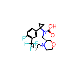 CN1CCOC[C@@H]1CN(C(=O)O)C1(c2ccc(F)c(C(F)(F)F)c2)CC1